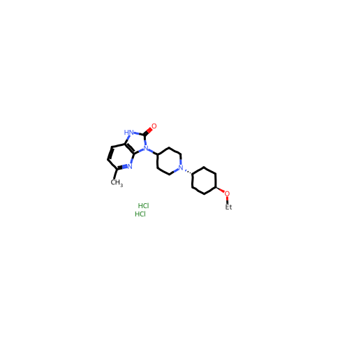 CCO[C@H]1CC[C@H](N2CCC(n3c(=O)[nH]c4ccc(C)nc43)CC2)CC1.Cl.Cl